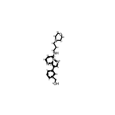 OCc1cccc(-c2cnn3c(NCCCN4CCOCC4)ccnc23)c1